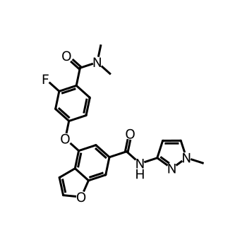 CN(C)C(=O)c1ccc(Oc2cc(C(=O)Nc3ccn(C)n3)cc3occc23)cc1F